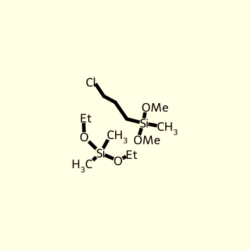 CCO[Si](C)(C)OCC.CO[Si](C)(CCCCl)OC